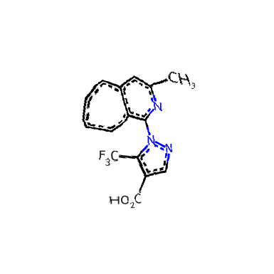 Cc1cc2ccccc2c(-n2ncc(C(=O)O)c2C(F)(F)F)n1